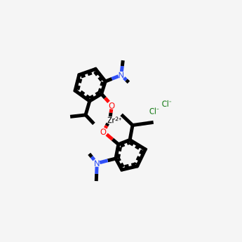 CC(C)c1cccc(N(C)C)c1[O][Zr+2][O]c1c(C(C)C)cccc1N(C)C.[Cl-].[Cl-]